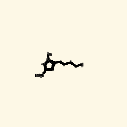 CCCn1nc(C(=O)OCC)cc1CCCCCl